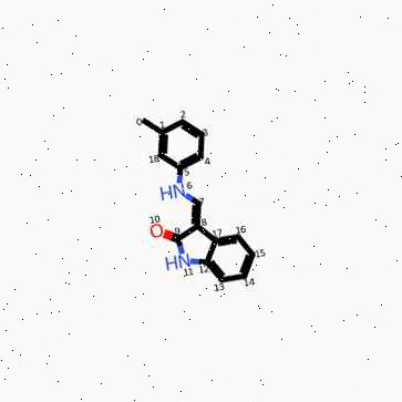 Cc1cccc(N/C=C2\C(=O)Nc3ccccc32)c1